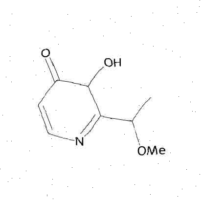 COC(C)C1=NC=CC(=O)C1O